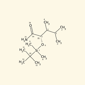 CC(C)C(C)[C@H](O[Si](C)(C)C(C)(C)C)C(N)=O